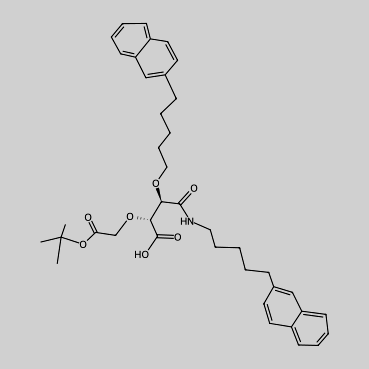 CC(C)(C)OC(=O)CO[C@@H](C(=O)O)[C@@H](OCCCCCc1ccc2ccccc2c1)C(=O)NCCCCCc1ccc2ccccc2c1